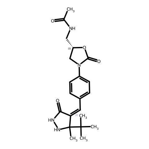 CC(=O)NC[C@H]1CN(c2ccc(/C=C3\C(=O)NNC3(C)C(C)(C)C)cc2)C(=O)O1